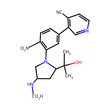 CC(C)(O)C1CC(NC(=O)O)CN1c1cc(-c2cnccc2C#N)ccc1[N+](=O)[O-]